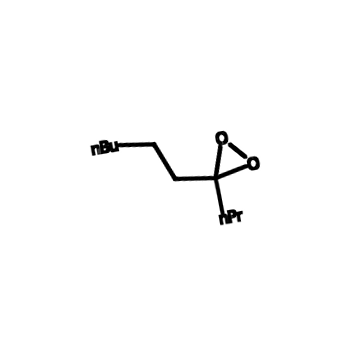 CCCCCCC1(CCC)OO1